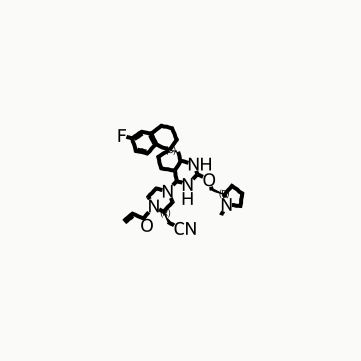 C=CC(=O)N1CCN(C2NC(OC[C@H]3CCCN3C)NC3C[C@]4(CCCc5cc(F)ccc54)CCC32)C[C@H]1CC#N